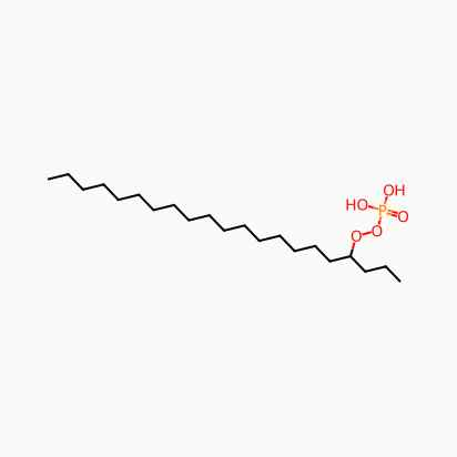 CCCCCCCCCCCCCCCCCC(CCC)OOP(=O)(O)O